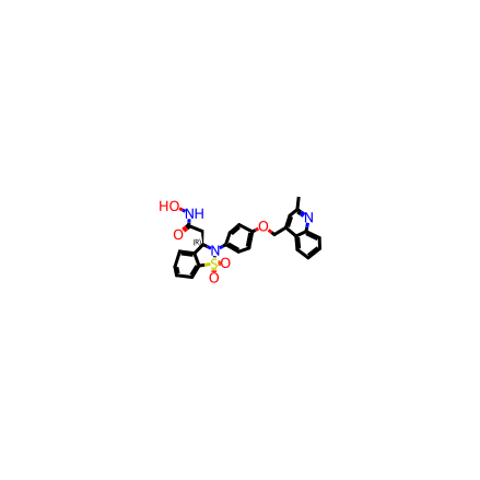 Cc1cc(COc2ccc(N3[C@H](CC(=O)NO)c4ccccc4S3(=O)=O)cc2)c2ccccc2n1